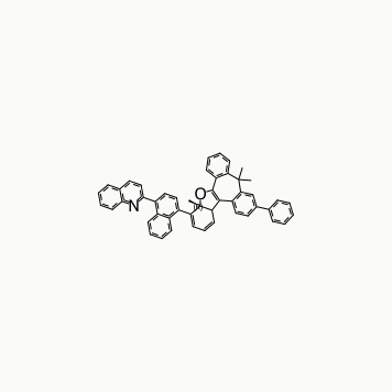 CC1(C)c2ccccc2C2=C(c3ccc(-c4ccccc4)cc31)C1C=CC=C(c3ccc(-c4ccc5ccccc5n4)c4ccccc34)[C@]1(C)O2